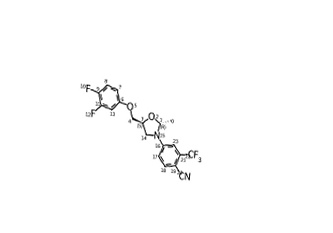 C[C@H]1O[C@H](COc2ccc(F)c(F)c2)CN1c1ccc(C#N)c(C(F)(F)F)c1